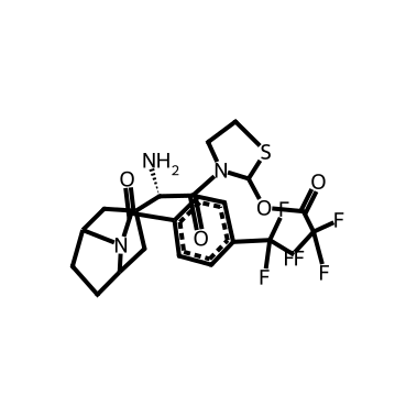 N[C@H](C(=O)N1CCSC1OC(=O)C(F)(F)F)C1CC2CCC(C1)N2C(=O)c1ccc(C(F)(F)F)cc1